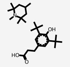 CC(C)(C)c1cc(CCC(=O)O)cc(C(C)(C)C)c1O.CC1CC(C)(C)N(C)C(C)(C)C1